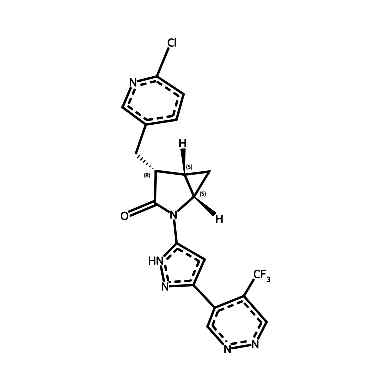 O=C1[C@H](Cc2ccc(Cl)nc2)[C@@H]2C[C@@H]2N1c1cc(-c2cnncc2C(F)(F)F)n[nH]1